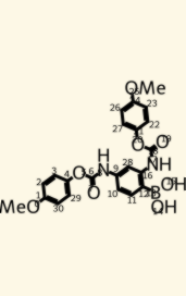 COc1ccc(OC(=O)Nc2ccc(B(O)O)c(NC(=O)Oc3ccc(OC)cc3)c2)cc1